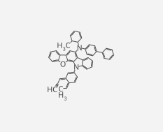 C#C/C=c1/cc(-n2c3ccccc3c3c(N(c4ccc(-c5ccccc5)cc4)C4C=CC=CC4C)cc4c5ccccc5oc4c32)cc/c1=C/C